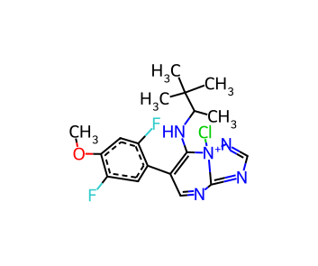 COc1cc(F)c(C2=C(NC(C)C(C)(C)C)[N+]3(Cl)N=CN=C3N=C2)cc1F